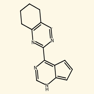 [c]1nc(-c2nc[nH]c3cccc2-3)nc2c1CCCC2